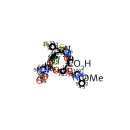 COc1ccccc1-c1nccc(COc2ccc3cc2C[C@H](C(=O)O)Oc2ncnc4sc(-c5ccc(F)cc5)c(c24)-c2ccc(c(Cl)c2C)O[C@H](CN2CCN(C)[C@@H](CS(C)(=O)=O)C2)CO3)n1